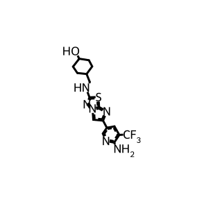 Nc1ncc(-c2cn3nc(NCC4CCC(O)CC4)sc3n2)cc1C(F)(F)F